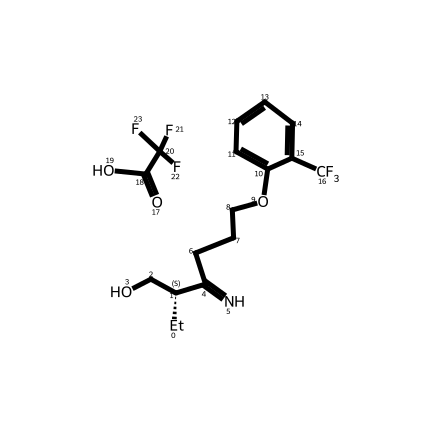 CC[C@H](CO)C(=N)CCCOc1c[c]ccc1C(F)(F)F.O=C(O)C(F)(F)F